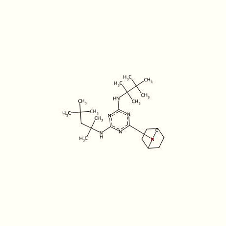 CC(C)(C)CC(C)(C)Nc1nc(NC(C)(C)C(C)(C)C)nc(N2CC3CCC(CC3)C2)n1